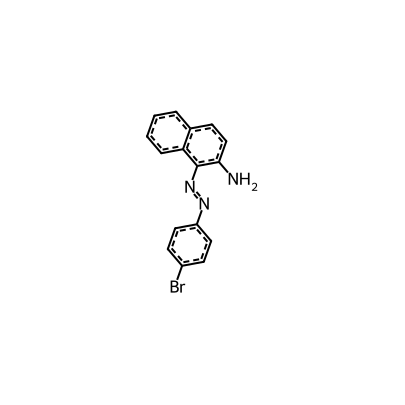 Nc1ccc2ccccc2c1/N=N/c1ccc(Br)cc1